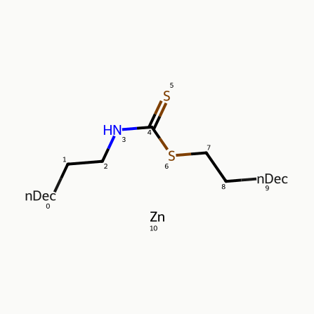 CCCCCCCCCCCCNC(=S)SCCCCCCCCCCCC.[Zn]